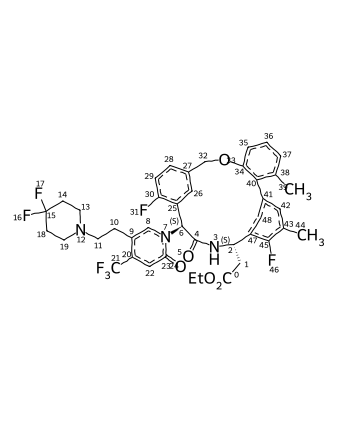 CCOC(=O)C[C@@H]1NC(=O)[C@@H](n2cc(CCN3CCC(F)(F)CC3)c(C(F)(F)F)cc2=O)c2cc(ccc2F)COc2cccc(C)c2-c2cc(C)c(F)c1c2